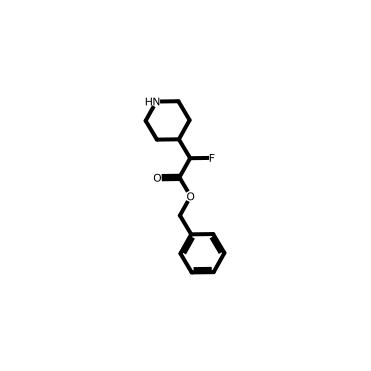 O=C(OCc1ccccc1)C(F)C1CCNCC1